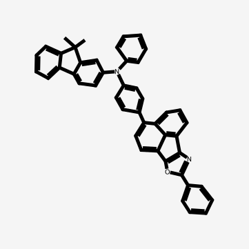 CC1(C)c2ccccc2-c2ccc(N(c3ccccc3)c3ccc(-c4ccc5c6c(cccc46)-c4nc(-c6ccccc6)oc4-5)cc3)cc21